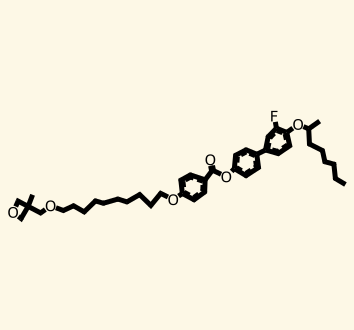 CCCCCCC(C)Oc1ccc(-c2ccc(OC(=O)c3ccc(OCCCCCCCCCCOCC4(C)COC4)cc3)cc2)cc1F